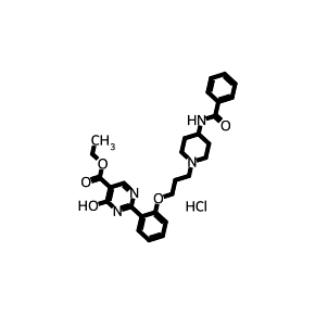 CCOC(=O)c1cnc(-c2ccccc2OCCCN2CCC(NC(=O)c3ccccc3)CC2)nc1O.Cl